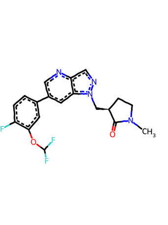 CN1CC[C@H](Cn2ncc3ncc(-c4ccc(F)c(OC(F)F)c4)cc32)C1=O